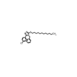 CCCCCCCCCCCCSc1nnc(-c2ccc(Cl)cc2)n1Cc1ccccc1